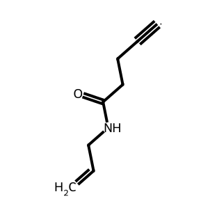 [C]#CCCC(=O)NCC=C